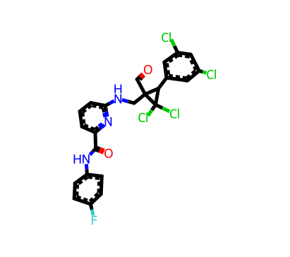 O=CC1(CNc2cccc(C(=O)Nc3ccc(F)cc3)n2)C(c2cc(Cl)cc(Cl)c2)C1(Cl)Cl